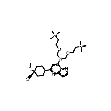 COC1(C#N)CCC(c2cc(N(COCC[Si](C)(C)C)COCC[Si](C)(C)C)n3nccc3n2)CC1